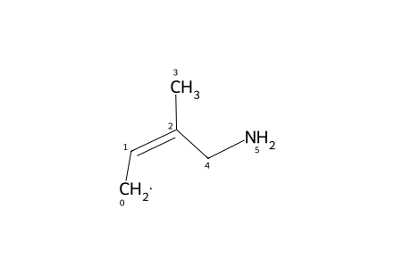 [CH2]C=C(C)CN